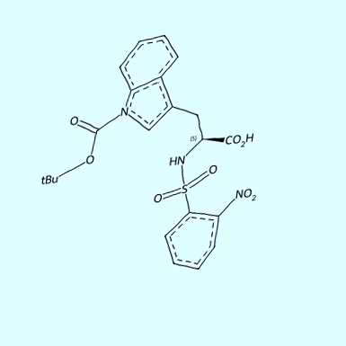 CC(C)(C)OC(=O)n1cc(C[C@H](NS(=O)(=O)c2ccccc2[N+](=O)[O-])C(=O)O)c2ccccc21